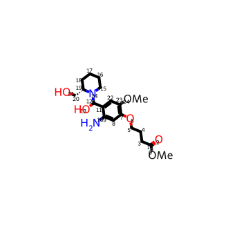 COC(=O)CCCOc1cc(N)c(C(O)N2CCCC[C@H]2CO)cc1OC